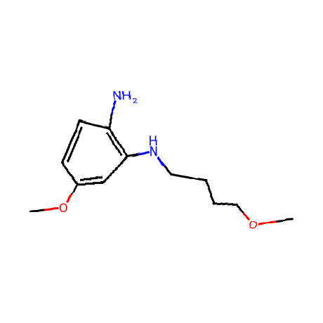 COCCCCNc1cc(OC)ccc1N